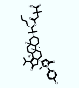 CCCC[C@H](OC(=O)CC(C)(C)C(=O)O)C(C)(C)[C@@H]1CC[C@]2(C)[C@H](CC[C@@H]3C4=C(C(C)C)C(=O)C[C@]4(c4cc(=O)n(-c5ccc(Cl)cn5)n4C)CC[C@]32C)C1